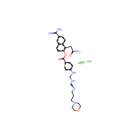 Cl.Cl.Cl.N=C(N)c1ccc2c(CC(N)=O)c(OC(=O)c3ccc(NCN/C=N/CCCN4CCOCC4)cc3)ccc2c1